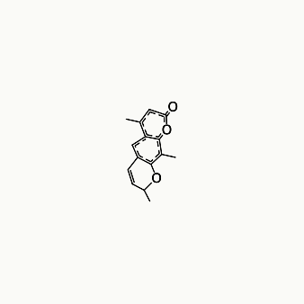 Cc1cc(=O)oc2c(C)c3c(cc12)C=CC(C)O3